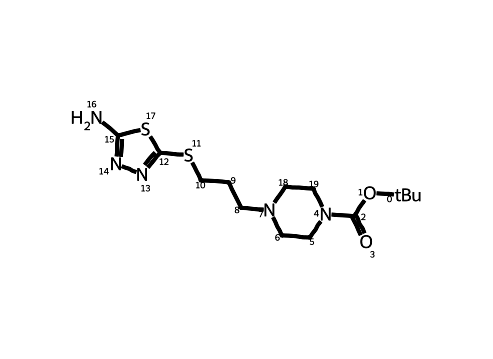 CC(C)(C)OC(=O)N1CCN(CCCSc2nnc(N)s2)CC1